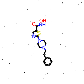 O=C(NO)c1cnc(N2CCN(CCc3ccccc3)CC2)s1